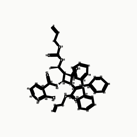 C=CCOC(=O)O[C@H](C)[C@H]1C(=O)N(C(C(=O)OCC=C)=P(c2ccccc2)(c2ccccc2)c2ccccc2)[C@@H]1SC(=O)c1cccnc1Cl